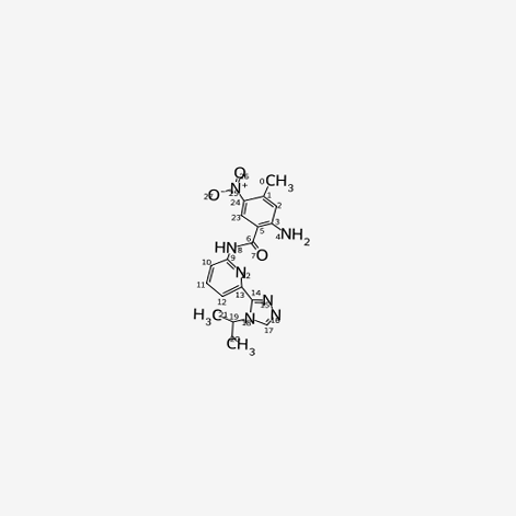 Cc1cc(N)c(C(=O)Nc2cccc(-c3nncn3C(C)C)n2)cc1[N+](=O)[O-]